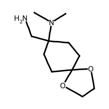 CN(C)C1(CN)CCC2(CC1)OCCO2